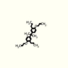 C=CCOc1ccc(C(C)(C)c2ccc(OCC=C)c(CC=C)c2)cc1CC=C